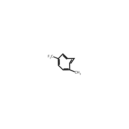 CC1=C/C=C(C(F)(F)F)\C=C\C=C\1